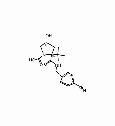 CC(C)(C)[C@]1(C(=O)NCc2ccc(C#N)cc2)C[C@@H](O)CN1C(=O)O